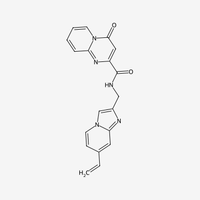 C=Cc1ccn2cc(CNC(=O)c3cc(=O)n4ccccc4n3)nc2c1